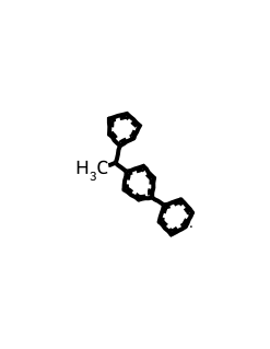 CC(c1ccccc1)c1ccc(-c2cc[c]cc2)cc1